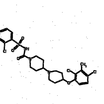 Cc1c(Cl)ccc(OC2CCN(C3CCN(C(=O)NS(=O)(=O)c4ccccc4Cl)CC3)CC2)c1Cl